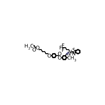 C=CC(=O)OCCCCCCOc1ccc(C(=O)Oc2ccc(C)c(/C=N/N(CCCC(F)(F)F)c3nc4ccccc4s3)c2)cc1